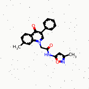 Cc1ccc2c(=O)c(-c3ccccc3)cn(CC(=O)Nc3cc(C)no3)c2c1